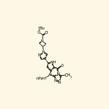 CCCCCn1c2cc(-c3cnn(C4CN(C(=O)OC(C)(C)C)C4)c3)[nH]c2c(=O)n2c(C)nnc12